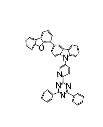 c1ccc(-c2nc(-c3ccccc3)nc(-c3ccc(-n4c5ccccc5c5cc(-c6cccc7c6oc6ccccc67)ccc54)cn3)n2)cc1